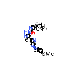 COc1ccc(CN(C)c2cc3ncc(-c4cc(NC(=O)c5cc(C(C)(C)C#N)ccn5)cnc4C)cc3cn2)cc1